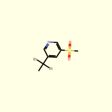 CCC(C)(CC)c1cncc(S(C)(=O)=O)c1